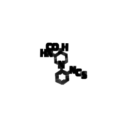 O=C(O)NC1CCCN(c2ccccc2N=C=S)C1